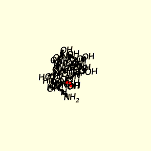 C[C@@H](O)[C@H](NC(=O)[C@H](CO)NC(=O)[C@H](N)CO)C(=O)N[C@@H](CO)C(=O)N[C@H](CO)C(=O)N[C@@H](CCCCN)C(=O)N[C@H](CO)C(=O)N[C@@H](CC(=O)O)C(=O)N[C@H](CC(=O)O)C(=O)N[C@@H](CC(=O)O)C(=O)N[C@H](CC(=O)O)C(=O)O